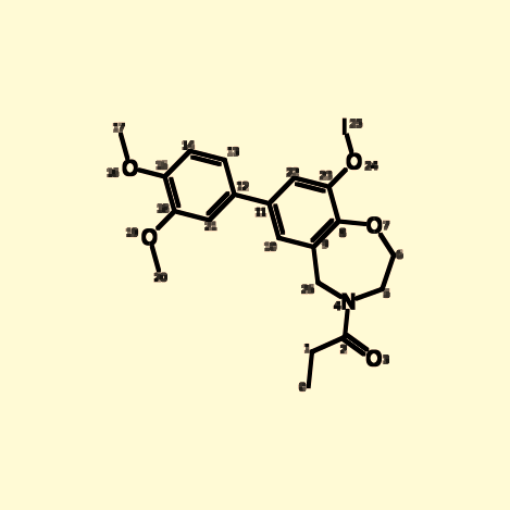 CCC(=O)N1CCOc2c(cc(-c3ccc(OC)c(OC)c3)cc2OI)C1